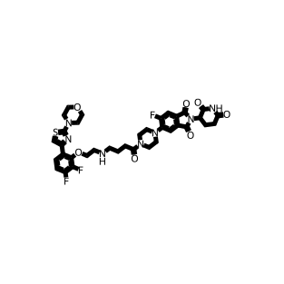 O=C1CCC(N2C(=O)c3cc(F)c(N4CCN(C(=O)CCCNCCOc5c(-c6csc(N7CCOCC7)n6)ccc(F)c5F)CC4)cc3C2=O)C(=O)N1